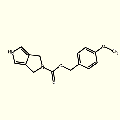 O=C(OCc1ccc(OC(F)(F)F)cc1)N1Cc2c[nH]cc2C1